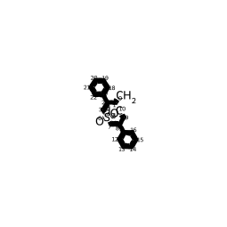 C=CC(=CS(=O)(=O)C=C(C=C)c1ccccc1)c1ccccc1